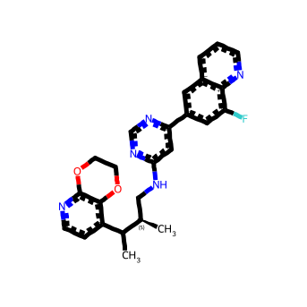 CC(c1ccnc2c1OCCO2)[C@H](C)CNc1cc(-c2cc(F)c3ncccc3c2)ncn1